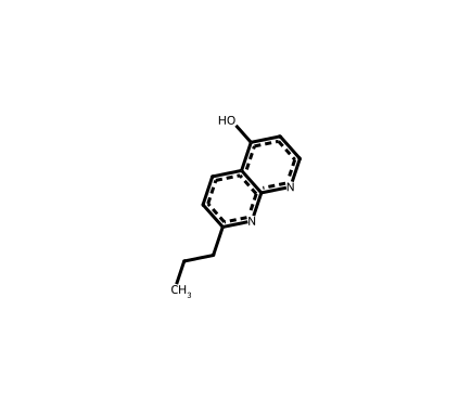 CCCc1ccc2c(O)ccnc2n1